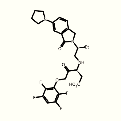 CC[C@@H](CN[C@@H](CC(=O)O)C(=O)COc1c(F)c(F)cc(F)c1F)N1Cc2ccc(N3CCCC3)cc2C1=O